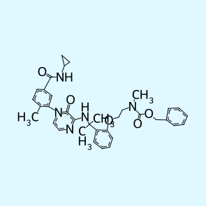 Cc1ccc(C(=O)NC2CC2)cc1-n1ccnc(NC(C)(C)c2ccccc2OCCN(C)C(=O)OCc2ccccc2)c1=O